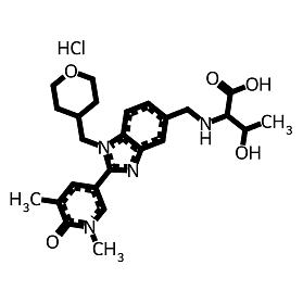 Cc1cc(-c2nc3cc(CNC(C(=O)O)C(C)O)ccc3n2CC2CCOCC2)cn(C)c1=O.Cl